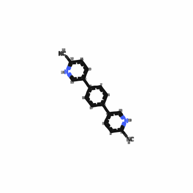 [C-]#[N+]c1ccc(-c2ccc(-c3ccc(C#N)nc3)cc2)cn1